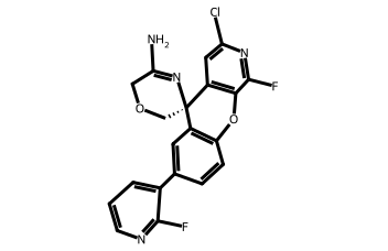 NC1=N[C@]2(COC1)c1cc(-c3cccnc3F)ccc1Oc1c2cc(Cl)nc1F